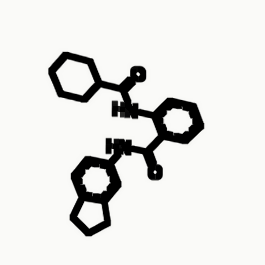 O=C(Nc1ccc2c(c1)CCC2)c1ccccc1NC(=O)C1CCCCC1